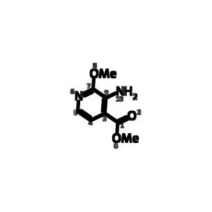 COC(=O)c1ccnc(OC)c1N